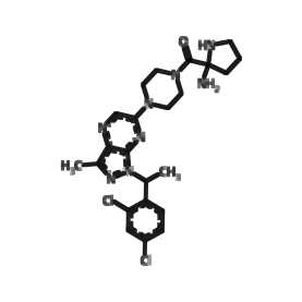 Cc1nn(C(C)c2ccc(Cl)cc2Cl)c2nc(N3CCN(C(=O)C4(N)CCCN4)CC3)cnc12